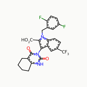 O=C(O)c1c(-n2c(=O)[nH]c3c(c2=O)CCCC3)c2cc(C(F)(F)F)ccc2n1Cc1cc(F)ccc1F